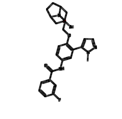 CC(=O)N1CC2CCC(C1)N2CCOc1ccc(NC(=O)c2cccc(F)c2)cc1-c1ccnn1C